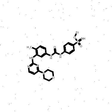 CCOS(=N)(=O)c1ccc(NC(=O)Nc2ccc(C)c(Nc3nccc(N4CCOCC4)n3)c2)cc1